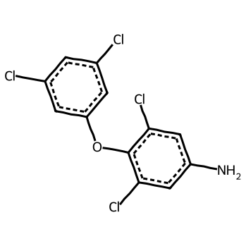 Nc1cc(Cl)c(Oc2cc(Cl)cc(Cl)c2)c(Cl)c1